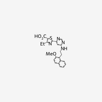 CCc1nc(-c2cc(NCCc3c(OC)ccc4ccccc34)ncn2)sc1C(=O)O